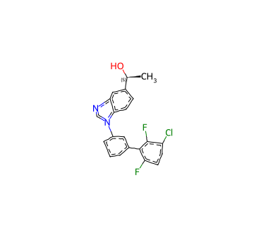 C[C@H](O)c1ccc2c(c1)ncn2-c1cccc(-c2c(F)ccc(Cl)c2F)c1